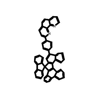 c1ccc2c(c1)-c1ccccc1C21c2cc(-c3ccc(-c4ccc5ccc6cccnc6c5n4)cc3)c3ccccc3c2-c2c1c1ccccc1c1ccccc21